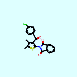 Cc1sc(N2C(=O)c3ccccc3C2=O)c(C(=O)c2ccc(Cl)cc2)c1C